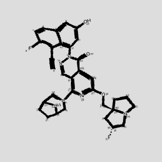 C#Cc1c(F)ccc2cc(O)cc(-n3ncc4c(N5CC6CCC(C5)N6)nc(OC[C@@]56CCCN5C[C@H](F)C6)cc4c3=O)c12